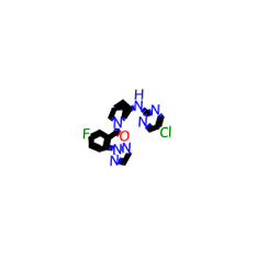 O=C(c1cc(F)ccc1-n1nccn1)N1CC2CC(Nc3ncc(Cl)cn3)C1C2